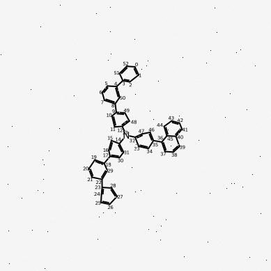 c1ccc(-c2cccc(-c3ccc(N(c4ccc(-c5cccc(-c6ccccc6)c5)cc4)c4ccc(-c5cccc6ccccc56)cc4)cc3)c2)cc1